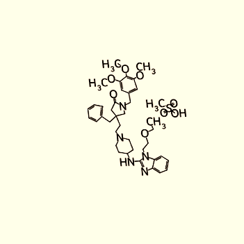 CCOCCn1c(NC2CCN(CCC3(Cc4ccccc4)CC(=O)N(Cc4cc(OC)c(OC)c(OC)c4)C3)CC2)nc2ccccc21.CS(=O)(=O)O